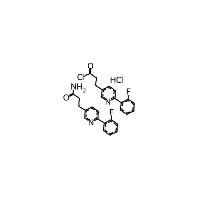 Cl.NC(=O)CCc1ccc(-c2ccccc2F)nc1.O=C(Cl)CCc1ccc(-c2ccccc2F)nc1